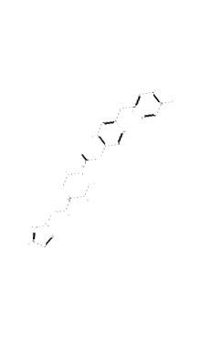 O=C(Oc1ccc(Cc2ccc(C(F)(F)F)cc2)cc1)N1CCC(COn2cccn2)CC1